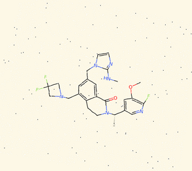 CNc1nccn1Cc1cc(CN2CC(F)(F)C2)c2c(c1)C(=O)N([C@@H](C)c1cnc(F)c(OC)c1)CC2